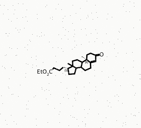 CCOC(=O)CCC[C@H]1CCC2C3CCC4=CC(=O)CC[C@]4(C)C3CCC21C